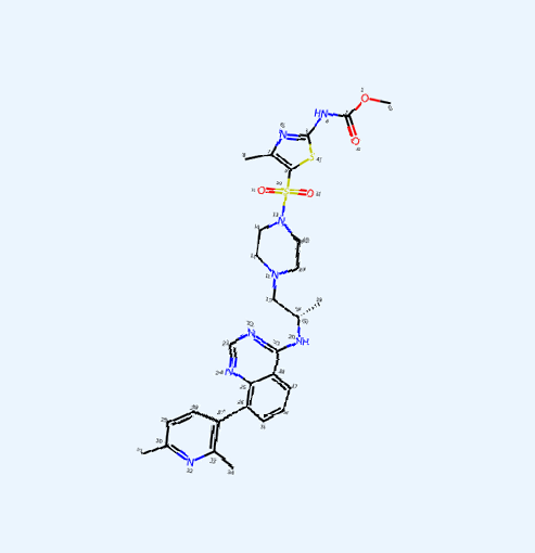 COC(=O)Nc1nc(C)c(S(=O)(=O)N2CCN(C[C@H](C)Nc3ncnc4c(-c5ccc(C)nc5C)cccc34)CC2)s1